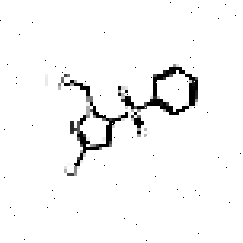 CCn1nc(Cl)cc1S(=O)(=O)c1ccccc1